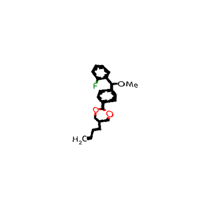 C=CCCC1COC(c2ccc(C(OC)c3ccccc3F)cc2)OC1